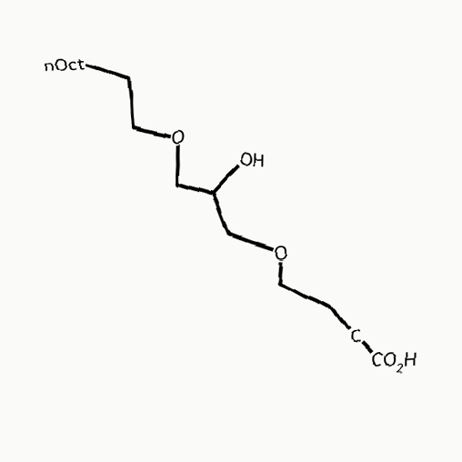 CCCCCCCCCCOCC(O)COCCCC(=O)O